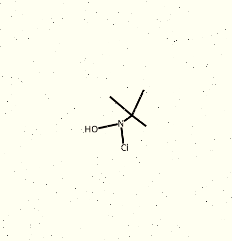 CC(C)(C)N(O)Cl